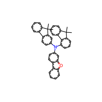 CC1(C)c2ccccc2-c2ccc(N(c3ccc4c(c3)oc3ccccc34)c3cccc4c3-c3ccccc3C4(C)C)cc21